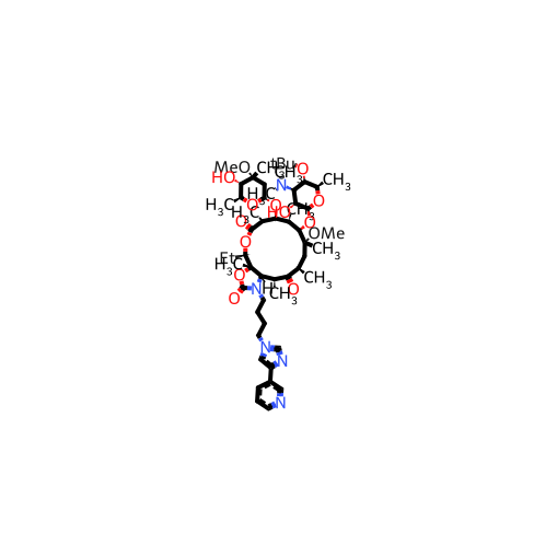 CC[C@H]1OC(=O)[C@H](C)[C@@H](O[C@H]2C[C@@](C)(OC)[C@@H](O)[C@H](C)O2)[C@H](C)[C@@H](O[C@@H]2O[C@H](C)[C@@H](OC(C)(C)C)[C@H](N(C)C)[C@H]2O)[C@](C)(OC)C[C@@H](C)C(=O)[C@H](C)[C@H]2N(CCCCn3cnc(-c4cccnc4)c3)C(=O)O[C@]12C